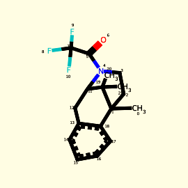 CC12CCN(C(=O)C(F)(F)F)C(Cc3ccccc31)C2(C)C